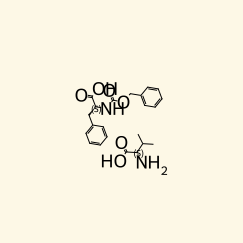 CC(C)[C@H](N)C(=O)O.O=C(N[C@@H](Cc1ccccc1)C(=O)O)OCc1ccccc1